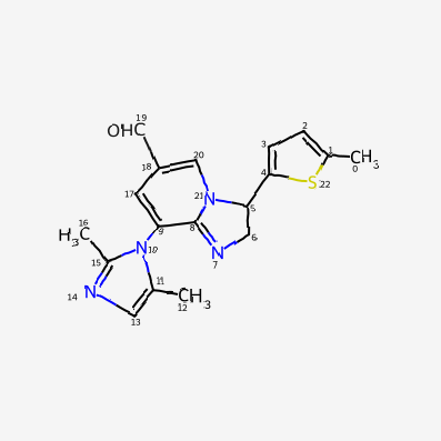 Cc1ccc(C2CN=C3C(n4c(C)cnc4C)=CC(C=O)=CN32)s1